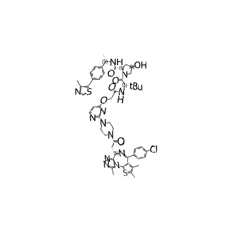 Cc1ncsc1-c1ccc([C@H](C)NC(=O)[C@@H]2C[C@@H](O)CN2C(=O)[C@@H](NC(=O)COc2ccnc(N3CCN(C(=O)C[C@@H]4N=C(c5ccc(Cl)cc5)c5c(sc(C)c5C)-n5c(C)nnc54)CC3)n2)C(C)(C)C)cc1